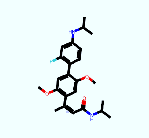 COc1cc(-c2ccc(NC(C)C)cc2F)c(OC)cc1/C(C)=C\C(=O)NC(C)C